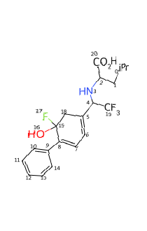 CC(C)CC(NC(C1=CC=C(c2ccccc2)C(O)(F)C1)C(F)(F)F)C(=O)O